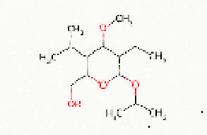 CCC1C(OC(C)C)OC(CO)C(C(C)C)C1OC